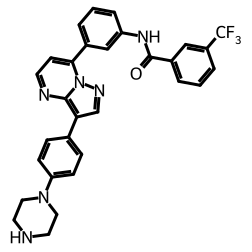 O=C(Nc1cccc(-c2ccnc3c(-c4ccc(N5CCNCC5)cc4)cnn23)c1)c1cccc(C(F)(F)F)c1